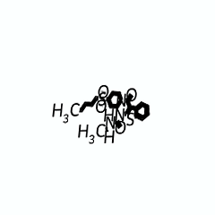 CCCCCS(=O)(=O)C1CCN(C(=O)c2c(NC(=O)NCC)sc3ccccc23)CC1